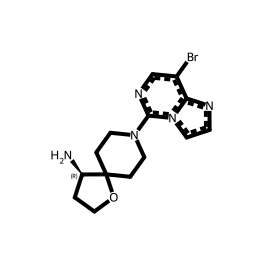 N[C@@H]1CCOC12CCN(c1ncc(Br)c3nccn13)CC2